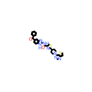 O=C(c1ccccc1)c1ccc2[nH]c(NC(=O)c3csc(C4CCN(c5ncnc6ccsc56)CC4)n3)nc2c1